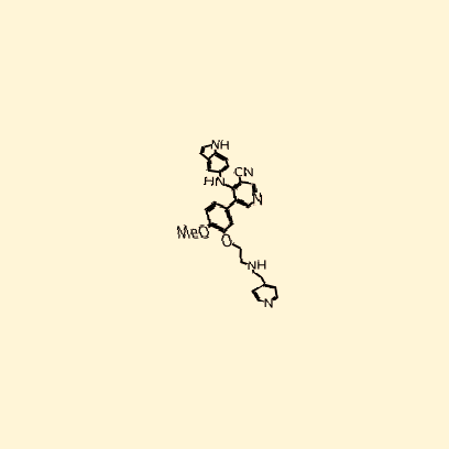 COc1ccc(-c2cncc(C#N)c2Nc2ccc3[nH]ccc3c2)cc1OCCNCCc1ccncc1